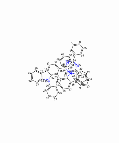 c1ccc(-c2nc(-c3ccccc3)nc(-c3ccc4c5ccccc5n(-c5ccccc5)c4c3-c3cccc4c5ccccc5n(-c5ccccc5)c34)n2)cc1